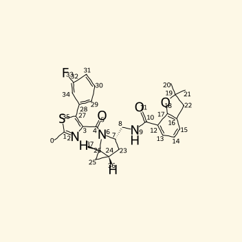 Cc1nc(C(=O)N2[C@H](CNC(=O)c3cccc4c3OC(C)(C)C4)C[C@@H]3C[C@@H]32)c(-c2cccc(F)c2)s1